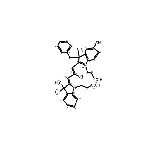 Cc1ccc2c(c1)C(C)(Cc1ccccc1)C(/C=C(C#N)/C=C1\N(CCC(=O)O)c3ccccc3C1(C)C)=[N+]2CCC(=O)O